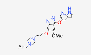 COc1cc2c(Oc3cnc4[nH]ccc4c3)ncnc2cc1OCCCN1CCN(CC(C)=O)CC1